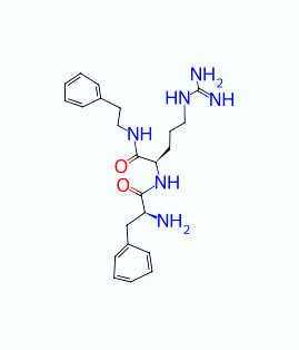 N=C(N)NCCC[C@@H](NC(=O)[C@@H](N)Cc1ccccc1)C(=O)NCCc1ccccc1